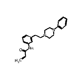 C=CC(=O)Nc1cccc(CCN2CCN(c3ccccc3)CC2)c1